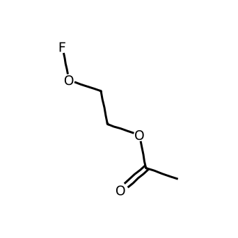 CC(=O)OCCOF